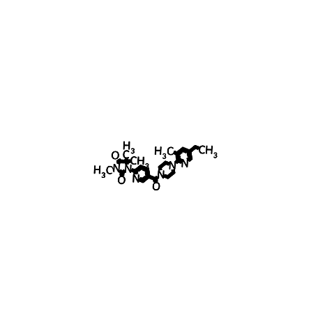 CCc1cnc(N2CCN(C(=O)c3ccc(N4C(=O)N(C)C(=O)C4(C)C)nc3)CC2)c(C)c1